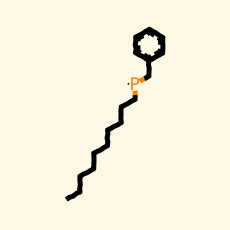 CCCCCCCCCC[P]Cc1ccccc1